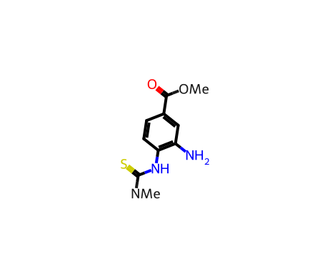 CNC(=S)Nc1ccc(C(=O)OC)cc1N